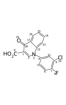 O=C(O)c1cn(-c2ccc(F)c(Cl)c2)c2ccccc2c1=O